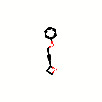 C(#CC1CCO1)COc1ccccc1